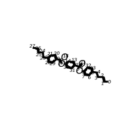 C/C=C/CCc1ccc(OC(=O)c2ccc(OC(=O)c3ccc(CC/C=C/C)cc3)cc2)cc1